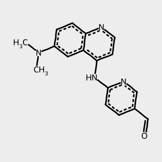 CN(C)c1ccc2nccc(Nc3ccc(C=O)cn3)c2c1